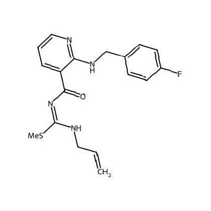 C=CCNC(=NC(=O)c1cccnc1NCc1ccc(F)cc1)SC